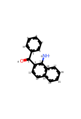 [NH]c1c(C(=O)c2ccccc2)ccc2ccccc12